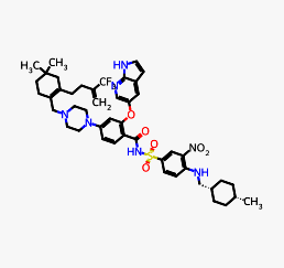 C=C(CCC1=C(CN2CCN(c3ccc(C(=O)NS(=O)(=O)c4ccc(NC[C@H]5CC[C@@H](C)CC5)c([N+](=O)[O-])c4)c(Oc4cnc5[nH]ccc5c4)c3)CC2)CCC(C)(C)C1)C(F)(F)F